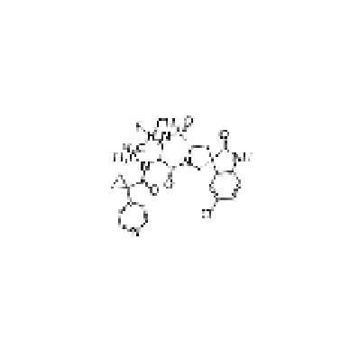 CN(C(=O)C1(c2ccncc2)CC1)[C@@H](CC(C)(C)F)C(=O)N1C[C@]2(C[C@H]1C(N)=O)C(=O)Nc1ccc(Cl)cc12